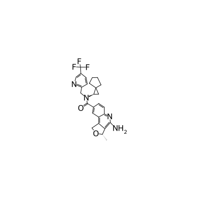 C[C@@H]1OCc2c1c(N)nc1ccc(C(=O)N(Cc3ccc(C(F)(F)F)cn3)[C@@H]3CC34CCCC4)cc21